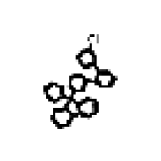 Clc1cccc(-c2ccccc2-c2cccc(C3(c4ccccc4)c4ccccc4-c4ccccc43)c2)c1